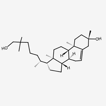 C[C@H](CCCC(C)(C)CO)[C@H]1CC[C@H]2[C@@H]3CC=C4C[C@@](C)(O)CC[C@]4(C)[C@H]3CC[C@]12C